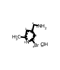 Cc1cc(CN)cc(Br)n1.Cl